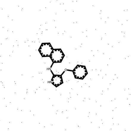 c1ccc(Oc2cc[nH]c2Nc2cccc3ccccc23)cc1